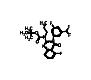 CCCN(C(=O)OC(C)(C)C)c1nc2cccc(F)c2c(=O)n1-c1cc(F)cc(C(F)F)c1